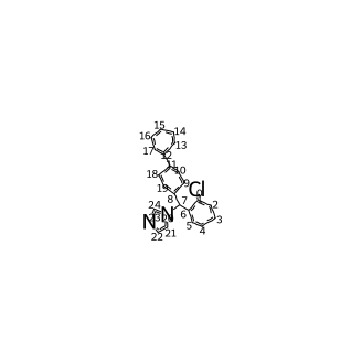 Clc1ccccc1C(c1ccc(-c2ccccc2)cc1)n1ccnc1